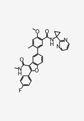 CNC(=O)c1c(-c2ccc(F)cc2)oc2ccc(-c3cc(C(=O)NC4(c5ncccn5)CC4)c(OC)cc3C)cc12